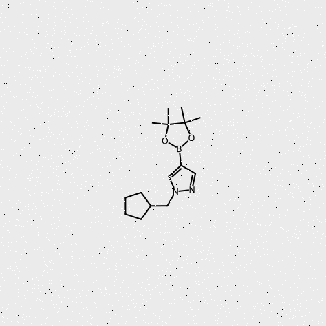 CC1(C)OB(c2cnn(CC3CCCC3)c2)OC1(C)C